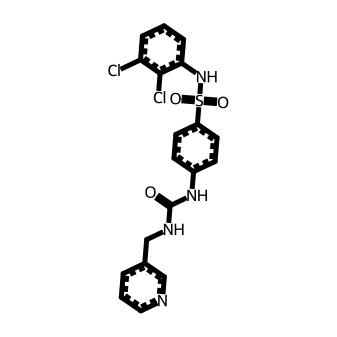 O=C(NCc1cccnc1)Nc1ccc(S(=O)(=O)Nc2cccc(Cl)c2Cl)cc1